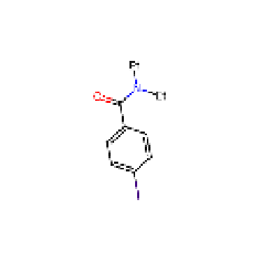 CCN(CC)C(=O)c1ccc(I)cc1